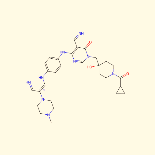 CN1CCN(/C(C=N)=C/Nc2ccc(Nc3ncn(CC4(O)CCN(C(=O)C5CC5)CC4)c(=O)c3C=N)cc2)CC1